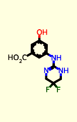 O=C(O)c1cc(O)cc(NC2=NCC(F)(F)CN2)c1